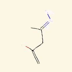 C=C(O)C/C(C)=N/N